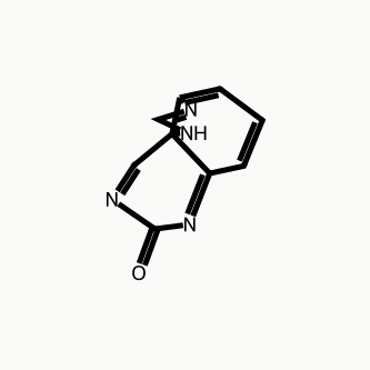 O=C1N=CC23NC=NC2=CC=CC3=N1